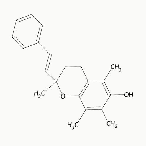 Cc1c(C)c2c(c(C)c1O)CCC(C)(C=Cc1ccccc1)O2